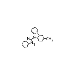 Cc1ccc2c(c1)c1ccccc1n2-c1nc2ccccc2n1I